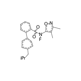 Cc1noc(N(F)S(=O)(=O)c2ccccc2-c2ccc(CC(C)C)cc2)c1C